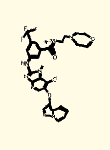 Cn1c(Nc2cc(C(=O)NCCN3CCOCC3)cc(C(F)(F)F)c2)nc2ncc(Oc3cnn4ccccc34)c(Cl)c21